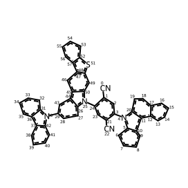 N#Cc1cc(-n2c3ccccc3c3c4ccccc4ccc32)c(C#N)cc1-n1c2ccc(-n3c4ccccc4c4ccccc43)cc2c2cc3c(cc21)sc1ccccc13